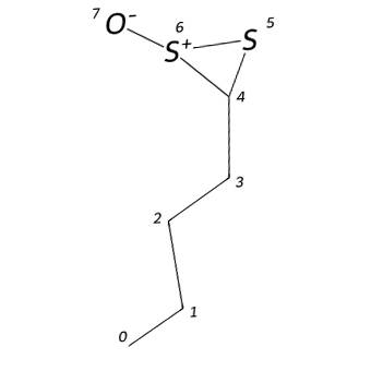 CCCCC1S[S+]1[O-]